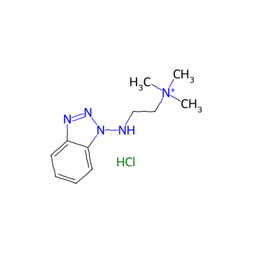 C[N+](C)(C)CCNn1nnc2ccccc21.Cl